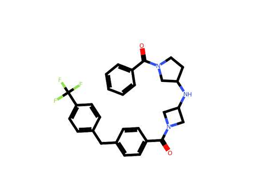 O=C(c1ccccc1)N1CCC(NC2CN(C(=O)c3ccc(Cc4ccc(C(F)(F)F)cc4)cc3)C2)C1